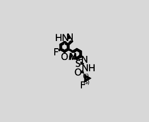 COc1c(F)cc2[nH]ncc2c1-c1ccc2nc(NC(=O)[C@@H]3C[C@@H]3F)sc2n1